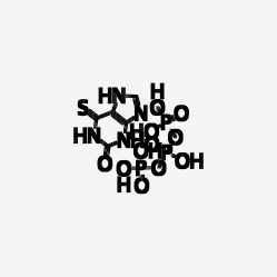 O=P(O)(O)OP(=O)(O)OP(=O)(O)O.O=c1[nH]c(=S)c2[nH]cnc2[nH]1